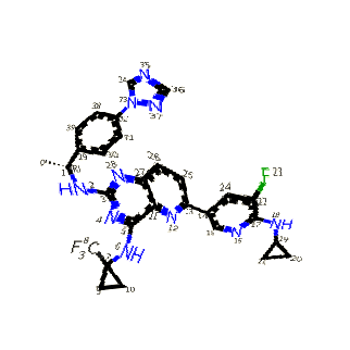 C[C@@H](Nc1nc(NC2(C(F)(F)F)CC2)c2nc(-c3cnc(NC4CC4)c(F)c3)ccc2n1)c1ccc(-n2cncn2)cc1